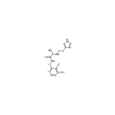 CCC(C)C(NCCc1c[nH]cn1)C(=O)NCc1cccc(Cl)c1Cl